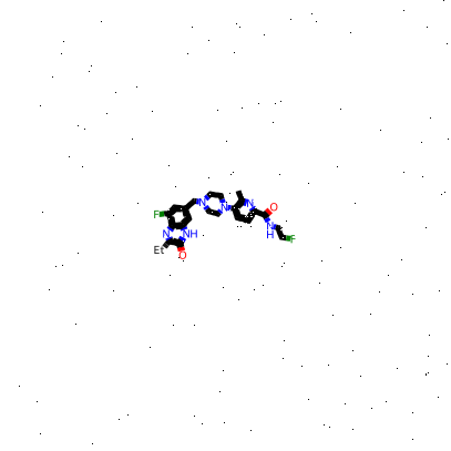 CCc1nc2c(F)cc(CN3CCN(c4ccc(C(=O)NCCF)nc4C)CC3)cc2[nH]c1=O